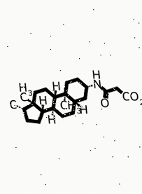 C[C@H]1CC[C@H]2[C@@H]3CC[C@H]4C[C@@H](NC(=O)CC(=O)O)CC[C@]4(C)[C@H]3CC[C@@]12C